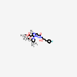 CCOC(=O)[C@@H](OC(C)(C)C)c1c(C)nc2cc(C(=O)NCC(O)CCc3ccc(F)cc3)nn2c1N1CCC(C)(C)CC1